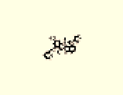 O=C(c1c(O)cc(O)cc1OCc1ccccn1)N1Cc2cccc(NC3CCOC3)c2C1